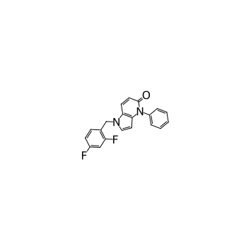 O=c1ccc2c(ccn2Cc2ccc(F)cc2F)n1-c1ccccc1